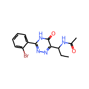 CCC(NC(C)=O)c1nnc(-c2ccccc2Br)[nH]c1=O